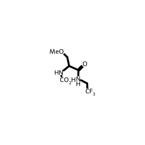 COCC(NC(=O)O)C(=O)NCC(F)(F)F